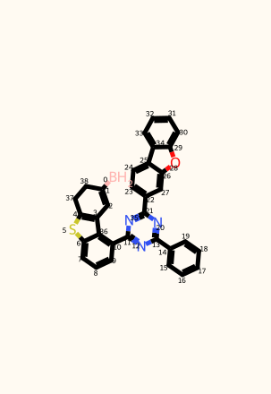 BC1=Cc2c(sc3cccc(-c4nc(-c5ccccc5)nc(-c5ccc6c(c5)oc5ccccc56)n4)c23)CC1